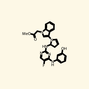 COC(=O)Cn1cc(N2C=CCC2Nc2ncc(F)c(Nc3cccc(O)c3)n2)c2ccccc21